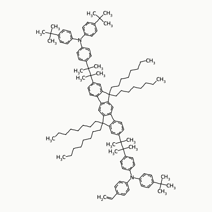 C=Cc1ccc(N(c2ccc(C(C)(C)C)cc2)c2ccc(C(C)(C)C(C)(C)c3ccc4c(c3)C(CCCCCCCC)(CCCCCCCC)c3cc5c(cc3-4)C(CCCCCCCC)(CCCCCCCC)c3cc(C(C)(C)C(C)(C)c4ccc(N(c6ccc(C(C)(C)C)cc6)c6ccc(C(C)(C)C)cc6)cc4)ccc3-5)cc2)cc1